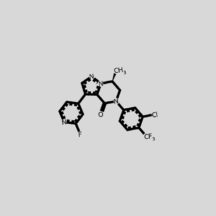 C[C@H]1CN(c2ccc(C(F)(F)F)c(Cl)c2)C(=O)c2c(-c3ccnc(F)c3)cnn21